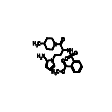 COC(=O)c1ccccc1S(=O)(=O)NC(CCn1cccc1N)C(=O)N1CCC(C)CC1